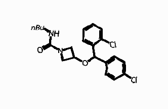 CCCCNC(=O)N1CC(OC(c2ccc(Cl)cc2)c2ccccc2Cl)C1